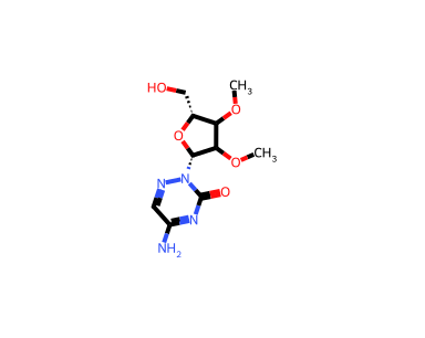 COC1C(OC)[C@@H](CO)O[C@H]1n1ncc(N)nc1=O